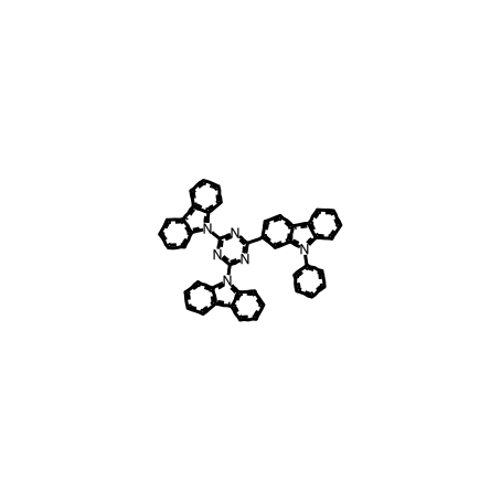 c1ccc(-n2c3ccccc3c3ccc(-c4nc(-n5c6ccccc6c6ccccc65)nc(-n5c6ccccc6c6ccccc65)n4)cc32)cc1